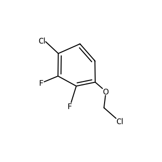 Fc1c(Cl)ccc(OCCl)c1F